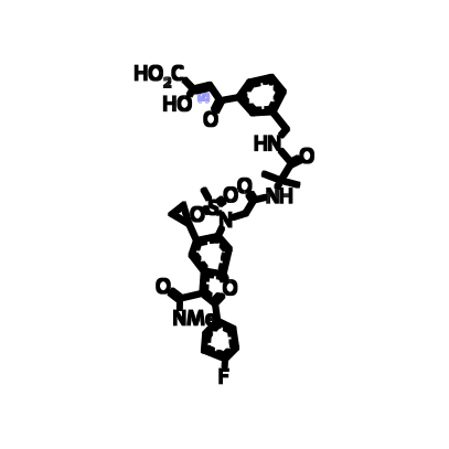 CNC(=O)c1c(-c2ccc(F)cc2)oc2cc(N(CC(=O)NC(C)(C)C(=O)NCc3cccc(C(=O)/C=C(\O)C(=O)O)c3)S(C)(=O)=O)c(C3CC3)cc12